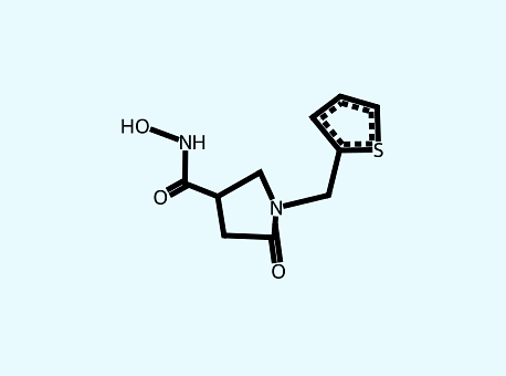 O=C(NO)C1CC(=O)N(Cc2cccs2)C1